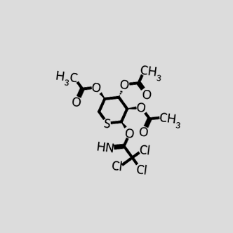 CC(=O)O[C@@H]1[C@@H](OC(C)=O)[C@@H](OC(=N)C(Cl)(Cl)Cl)SC[C@H]1OC(C)=O